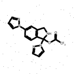 O=C(OC1(n2cccn2)NCc2cc(-n3cccn3)ccc21)C(F)(F)F